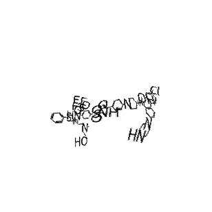 CN(CCO)CC[C@H](CSc1ccccc1)Nc1ccc(S(=O)(=O)NC(=O)c2ccc(N3CCC([C@@H](O)c4cc(N5CCNCC5)ccc4-c4ccc(Cl)cc4)CC3)cc2)cc1S(=O)(=O)C(F)(F)F